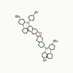 CC(C)c1ccc(N(c2ccc3cc4c(cc3c2)oc2cc3cc(N(c5ccc(C(C)C)cc5)c5cc(C(C)(C)C)ccc5-c5ccccc5)ccc3cc24)c2cc(C(C)(C)C)ccc2-c2ccccc2)cc1